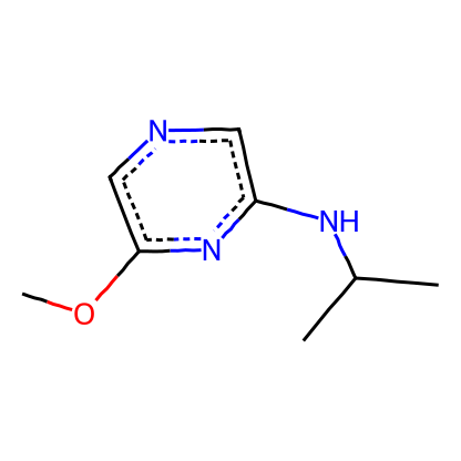 COc1cncc(NC(C)C)n1